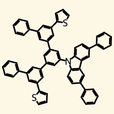 c1ccc(-c2cc(-c3cc(-c4cc(-c5ccccc5)cc(-c5cccs5)c4)cc(-n4c5ccc(-c6ccccc6)cc5c5cc(-c6ccccc6)ccc54)c3)cc(-c3cccs3)c2)cc1